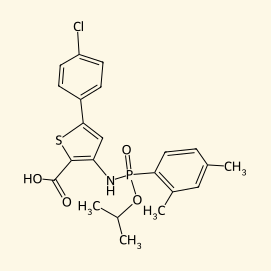 Cc1ccc(P(=O)(Nc2cc(-c3ccc(Cl)cc3)sc2C(=O)O)OC(C)C)c(C)c1